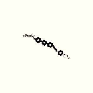 C=C[C@H]1CC[C@H](C=CCCc2ccc(-c3ccc(-c4ccc(COCCCCC)cc4)cc3)cc2)CC1